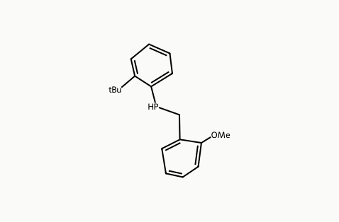 COc1ccccc1CPc1ccccc1C(C)(C)C